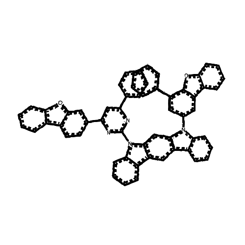 c1ccc(-c2cc(-c3ccc4c(c3)oc3ccccc34)nc(-n3c4ccccc4c4cc5c6ccccc6n(-c6cc(-c7ccccc7)c7oc8ccccc8c7c6)c5cc43)n2)cc1